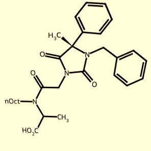 CCCCCCCCN(C(=O)CN1C(=O)N(Cc2ccccc2)[C@@](C)(c2ccccc2)C1=O)C(C)C(=O)O